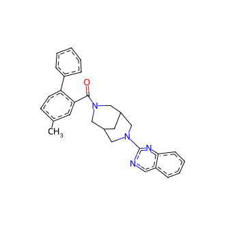 Cc1ccc(-c2ccccc2)c(C(=O)N2CC3CC(C2)CN(c2ncc4ccccc4n2)C3)c1